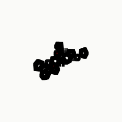 C[C@]12CC[C@@H]3[C@@H](CCC4CC(O[Si](c5ccccc5)(c5ccccc5)c5ccccc5)CC[C@@]43COC3=CCCC3)[C@@H]1CCC2OC1=CCCC1